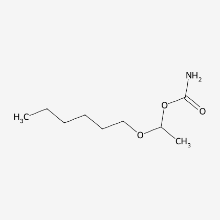 CCCCCCOC(C)OC(N)=O